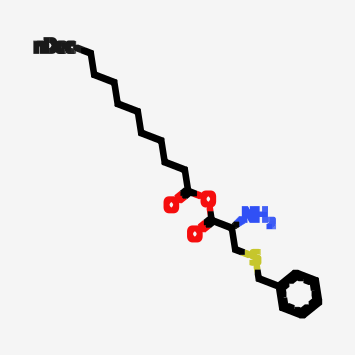 CCCCCCCCCCCCCCCCCCCC(=O)OC(=O)[C@@H](N)CSCc1ccccc1